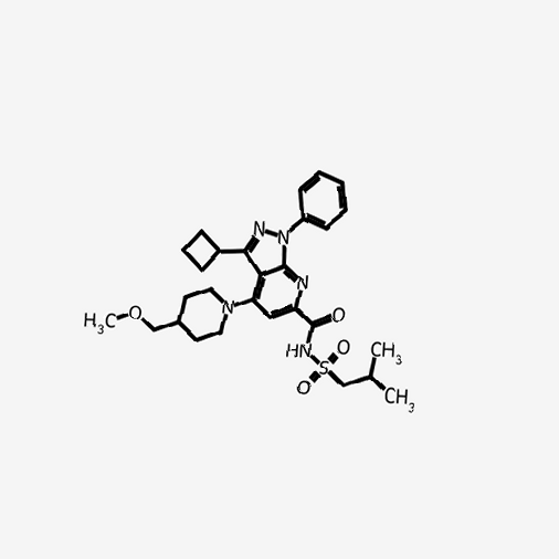 COCC1CCN(c2cc(C(=O)NS(=O)(=O)CC(C)C)nc3c2c(C2CCC2)nn3-c2ccccc2)CC1